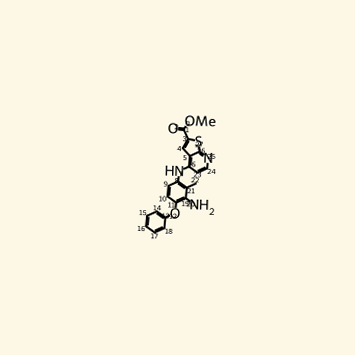 COC(=O)c1cc2c(Nc3ccc(Oc4ccccc4)c(N)c3C)ccnc2s1